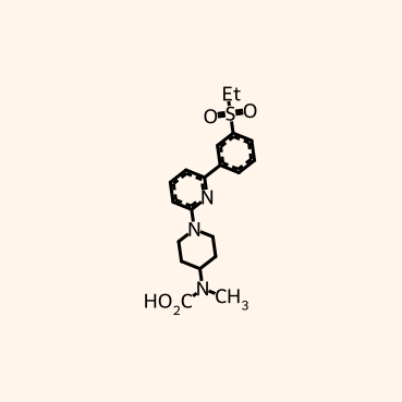 CCS(=O)(=O)c1cccc(-c2cccc(N3CCC(N(C)C(=O)O)CC3)n2)c1